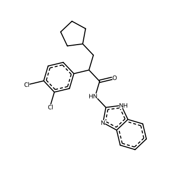 O=C(Nc1nc2ccccc2[nH]1)C(CC1CCCC1)c1ccc(Cl)c(Cl)c1